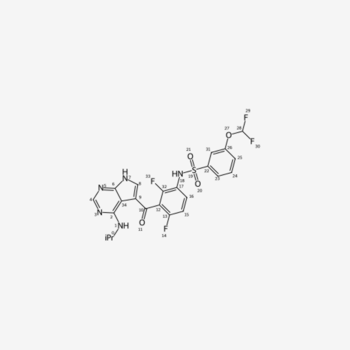 CC(C)Nc1ncnc2[nH]cc(C(=O)c3c(F)ccc(NS(=O)(=O)c4cccc(OC(F)F)c4)c3F)c12